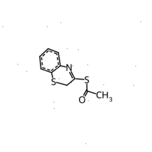 CC(=O)SC1=Nc2ccccc2SC1